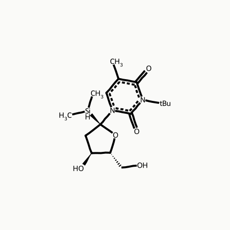 Cc1cn([C@@]2([SiH](C)C)C[C@H](O)[C@@H](CO)O2)c(=O)n(C(C)(C)C)c1=O